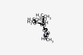 CNC(=O)/C=C\N(C=O)C1CCC(COP(NCC(=O)OC(C)C)OCCSC(=O)C(C)(C)C)O1